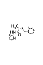 CC(SCc1ccccn1)C(=O)Nc1nccs1